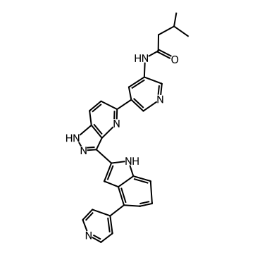 CC(C)CC(=O)Nc1cncc(-c2ccc3[nH]nc(-c4cc5c(-c6ccncc6)cccc5[nH]4)c3n2)c1